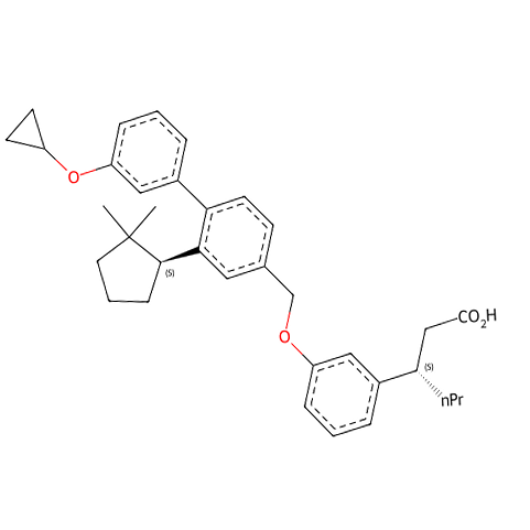 CCC[C@@H](CC(=O)O)c1cccc(OCc2ccc(-c3cccc(OC4CC4)c3)c([C@H]3CCCC3(C)C)c2)c1